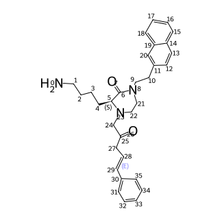 NCCCC[C@H]1C(=O)N(CCc2ccc3ccccc3c2)CCN1CC(=O)C/C=C/c1ccccc1